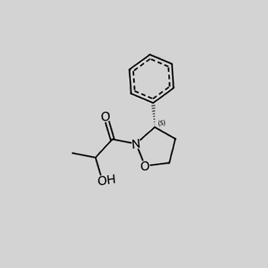 CC(O)C(=O)N1OCC[C@H]1c1ccccc1